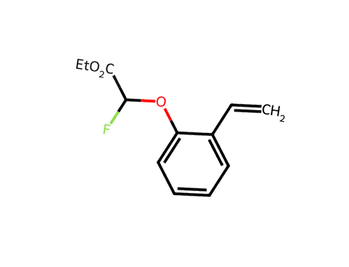 C=Cc1ccccc1OC(F)C(=O)OCC